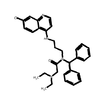 CCN(CC)CC(=O)N(CCCNc1ccnc2cc(Cl)ccc12)C(c1ccccc1)c1ccccc1